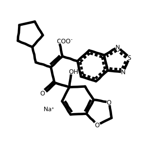 O=C([O-])C(=C(CC1CCCC1)C(=O)C1(O)C=CC2=C(C1)OCO2)c1ccc2nsnc2c1.[Na+]